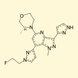 C[C@@H]1COCCN1c1cc(-c2ccn(CCF)n2)c2c(n1)c(-c1cc[nH]n1)nn2C